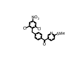 CSc1ccc(C(=O)c2ccc(Cc3c(Cl)cc([N+](=O)[O-])cc3Cl)cc2)cn1